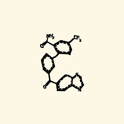 NC(=O)c1cc(C(F)(F)F)ccc1-c1cccc(C(=O)c2ccc3nccnc3c2)c1